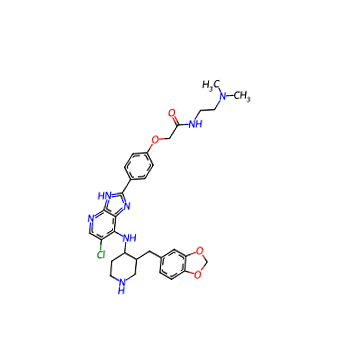 CN(C)CCNC(=O)COc1ccc(-c2nc3c(NC4CCNCC4Cc4ccc5c(c4)OCO5)c(Cl)cnc3[nH]2)cc1